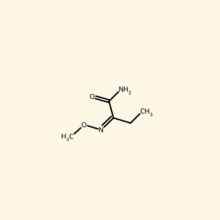 CC/C(=N/OC)C(N)=O